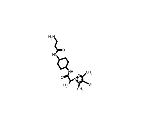 Cc1nn(C(C)C(=O)NC2CCC(NC(=O)CCN)CC2)c(C)c1Br